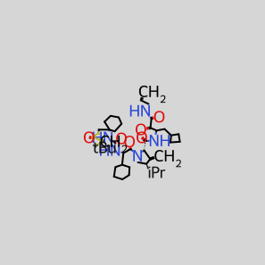 C=CCNC(=O)C(=O)C(CC1CCC1)NC(=O)[C@@H]1C(=C)[C@@H](C(C)C)CN1C(=O)[C@@H](NC(=O)NC1(CS(=C)(=O)C(C)(C)C)CCCCC1)C1CCCCC1